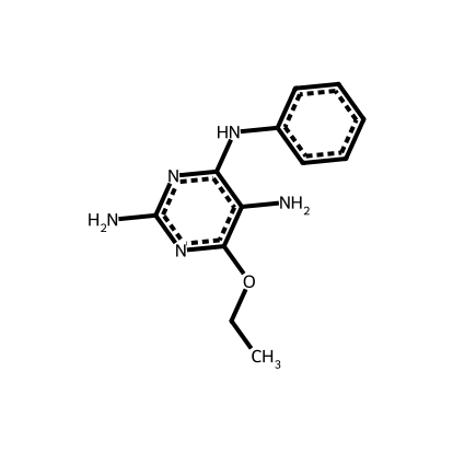 CCOc1nc(N)nc(Nc2ccccc2)c1N